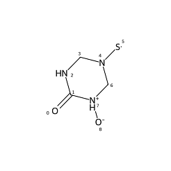 O=C1NCN([S])C[NH+]1[O-]